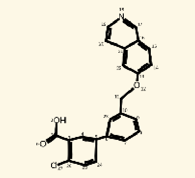 O=C(O)c1cc(-c2cccc(COc3ccc4cnccc4c3)c2)ccc1Cl